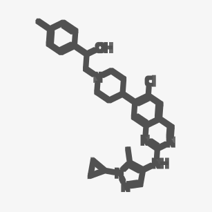 Cc1ccc(C(O)CN2CCC(c3cc4nc(Nc5cnn(C6CC6)c5C)ncc4cc3Cl)CC2)cc1